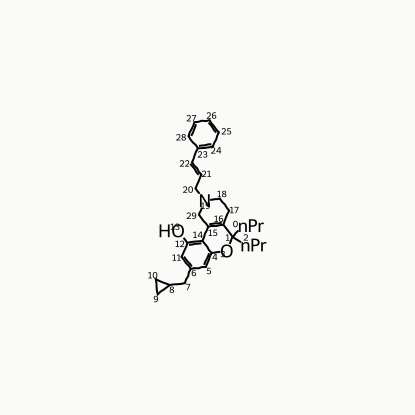 CCCC1(CCC)Oc2cc(CC3CC3)cc(O)c2C2=C1CCN(CC=Cc1ccccc1)C2